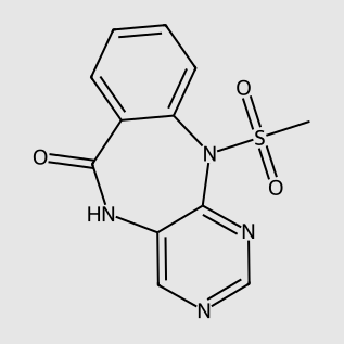 CS(=O)(=O)N1c2ccccc2C(=O)Nc2cncnc21